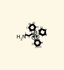 NCCC[Si](Oc1ccccc1)(Oc1ccccc1)Oc1ccccc1